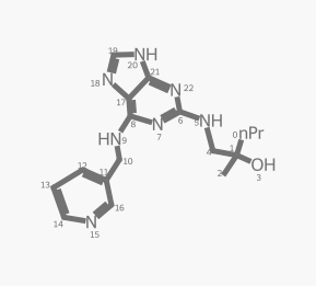 CCCC(C)(O)CNc1nc(NCc2cccnc2)c2nc[nH]c2n1